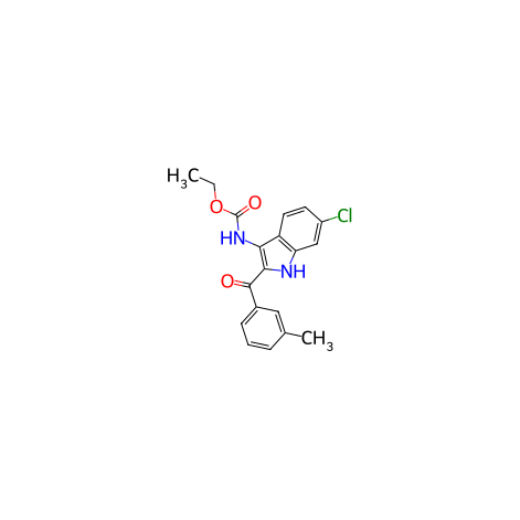 CCOC(=O)Nc1c(C(=O)c2cccc(C)c2)[nH]c2cc(Cl)ccc12